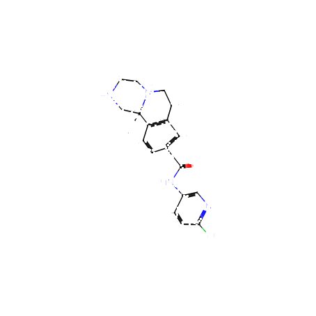 O=C(Nc1ccc(Cl)nc1)c1ccc2c(c1)CCN1CCNC[C@@H]21